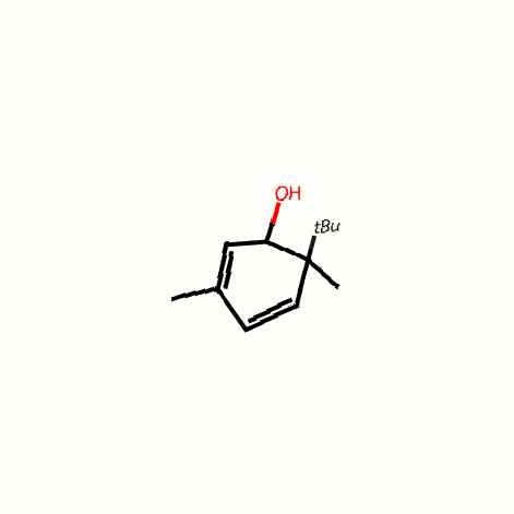 CC1=CC(O)C(C)(C(C)(C)C)C=C1